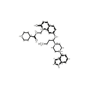 CCCC(Oc1ccc2ccc(=O)n(COC(=O)C3CCOCC3)c2c1)N1CCN(c2cccc3sccc23)CC1